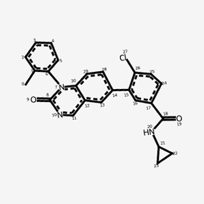 Cc1ccccc1-n1c(=O)ncc2cc(-c3cc(C(=O)NC4CC4)ccc3Cl)ccc21